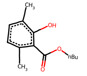 CCCCOC(=O)c1c(C)ccc(C)c1O